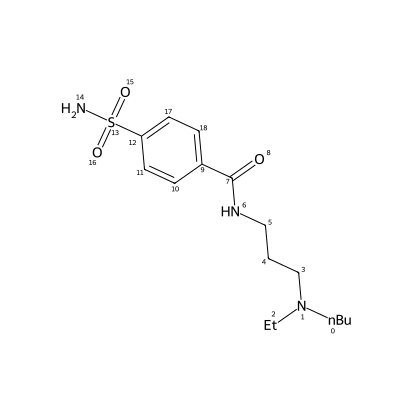 CCCCN(CC)CCCNC(=O)c1ccc(S(N)(=O)=O)cc1